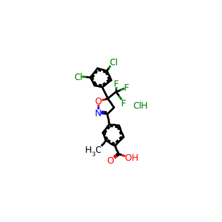 Cc1cc(C2=NOC(c3cc(Cl)cc(Cl)c3)(C(F)(F)F)C2)ccc1C(=O)O.Cl